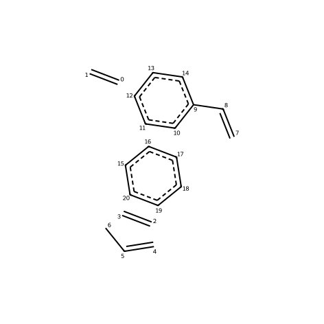 C=C.C=C.C=CC.C=Cc1ccccc1.c1ccccc1